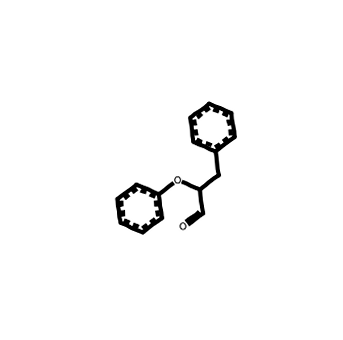 O=CC(Cc1ccccc1)Oc1ccccc1